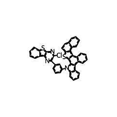 Clc1nc2sc3ccccc3c2nc1-c1cccc(-n2c3ccccc3c3c4ccccc4c4c(sc5ccc6ccccc6c54)c32)c1